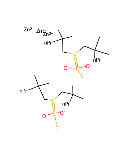 CCCC(C)(C)CS(CC(C)(C)CCC)=P([O-])([O-])[S-].CCCC(C)(C)CS(CC(C)(C)CCC)=P([O-])([O-])[S-].[Zn+2].[Zn+2].[Zn+2]